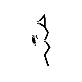 O=[SiH2].[CH2]CCOCC1CO1